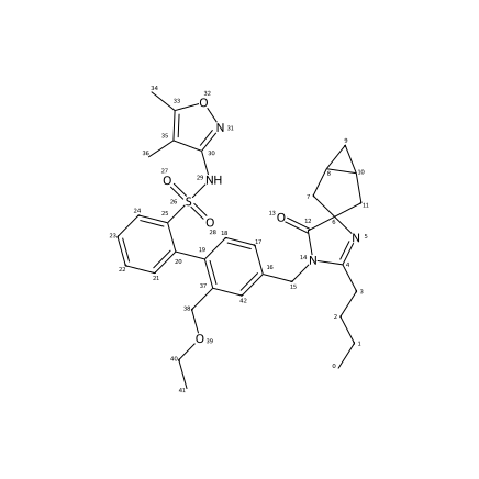 CCCCC1=NC2(CC3CC3C2)C(=O)N1Cc1ccc(-c2ccccc2S(=O)(=O)Nc2noc(C)c2C)c(COCC)c1